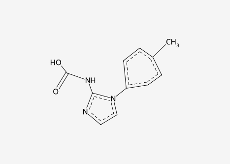 Cc1ccc(-n2ccnc2NC(=O)O)cc1